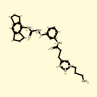 NCCCn1cc(CCC(=O)Nc2cccc(SNC(=O)Nc3c4c(cc5c3CCC5)CCC4)c2)nn1